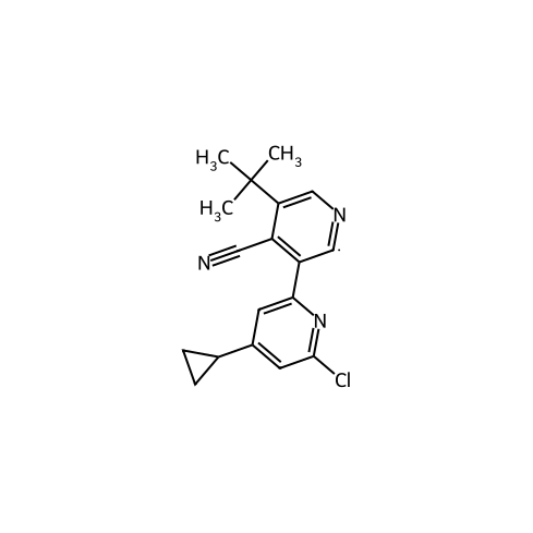 CC(C)(C)c1cn[c]c(-c2cc(C3CC3)cc(Cl)n2)c1C#N